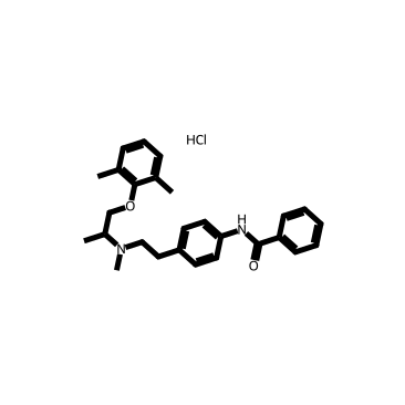 Cc1cccc(C)c1OCC(C)N(C)CCc1ccc(NC(=O)c2ccccc2)cc1.Cl